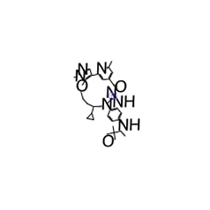 Cc1cc2cc(n1)-c1cnn(C)c1OCCCC(C1CC1)CN1/C(=N/C2=O)Nc2cc(NC(C)C3(C)COC3)ccc21